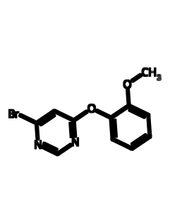 COc1ccccc1Oc1cc(Br)ncn1